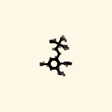 COc1c(C)cc(Br)cc1CO[Si](C)(C)C(C)(C)C